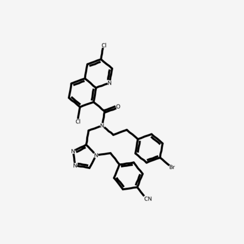 N#Cc1ccc(Cn2cnnc2CN(CCc2ccc(Br)cc2)C(=O)c2c(Cl)ccc3cc(Cl)cnc23)cc1